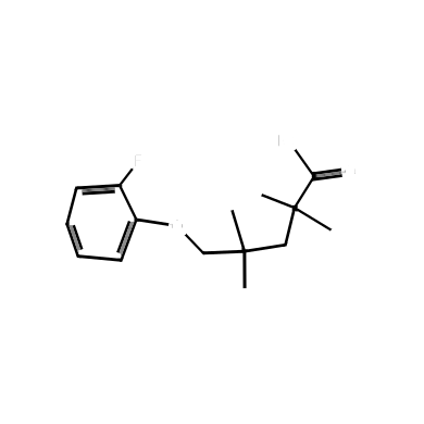 CC(C)(COc1ccccc1F)CC(C)(C)C(=O)O